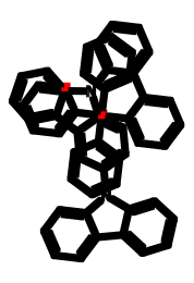 c1ccc([Si](c2ccccc2)(c2ccccc2)c2ccccc2-c2ccccc2-n2c3ccccc3c3cc(-n4c5ccccc5c5ccccc54)ccc32)cc1